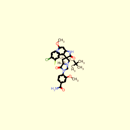 COc1cc2c(cn1)C1(C(=O)N2)[C@H](CC(C)(C)C)N2CN(c3ccc(C(N)=O)cc3OC)C(=O)[C@H]2[C@@H]1c1cccc(Cl)c1F